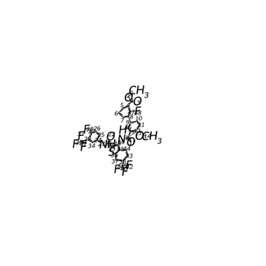 COC(=O)c1cccc(-c2ccc(OC)c(C(=O)Nc3c(C(=O)Nc4ccc(F)c(C(F)(F)F)c4)sc4cc(C(F)(F)F)ccc34)c2)c1F